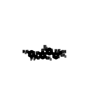 Cc1cnc(C(F)(F)Oc2cc(C)n(-c3cc(-c4ccnc(C(C)(C)O)n4)ncc3C)c(=O)c2Cl)c(F)c1